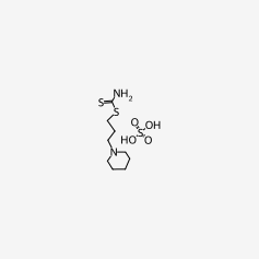 NC(=S)SCCCN1CCCCC1.O=S(=O)(O)O